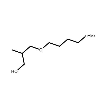 CCCCCCCCCCOCC(C)CO